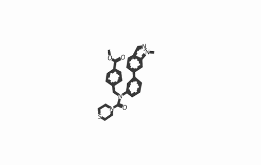 COC(=O)c1ccc(CN(C(=O)N2CCSCC2)c2cccc(-c3ccc4cnn(C)c4c3)c2)cc1